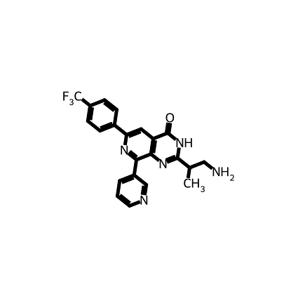 CC(CN)c1nc2c(-c3cccnc3)nc(-c3ccc(C(F)(F)F)cc3)cc2c(=O)[nH]1